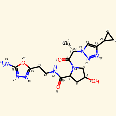 CC(C)(C)[C@@H](C(=O)N1CC(O)CC1C(=O)NCCc1nnc(N)o1)n1cc(C2CC2)nn1